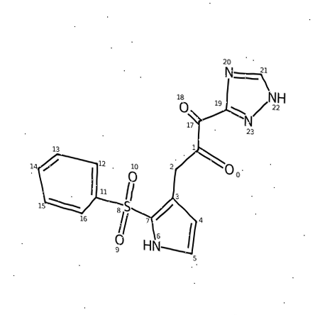 O=C(Cc1cc[nH]c1S(=O)(=O)c1ccccc1)C(=O)c1nc[nH]n1